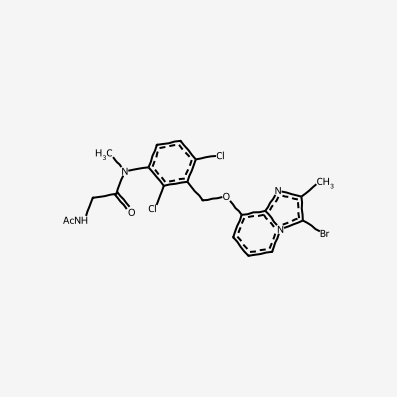 CC(=O)NCC(=O)N(C)c1ccc(Cl)c(COc2cccn3c(Br)c(C)nc23)c1Cl